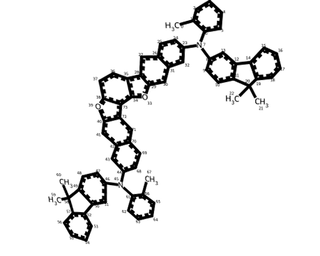 Cc1ccccc1N(c1ccc2c(c1)-c1ccccc1C2(C)C)c1ccc2cc3c(cc2c1)oc1c3ccc2oc3cc4cc(N(c5ccc6c(c5)-c5ccccc5C6(C)C)c5ccccc5C)ccc4cc3c21